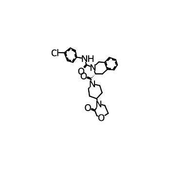 O=C([C@H]1Cc2ccccc2CN1C(=O)Nc1ccc(Cl)cc1)N1CCC(N2CCOCC2=O)CC1